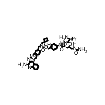 CCCCc1nc2c(N)nc3ccccc3c2n1Cc1ccc(CN(CC2(C)CCC2)C(=O)OCc2ccc(NC(=O)[C@H](CCCNC(N)=O)NC(=O)[C@@H](N)C(C)C)cc2)cc1